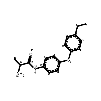 CCc1ccc(Sc2ccc(NC(=O)C(C)N)cc2)cc1